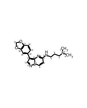 CN(C)CCCNc1ccn2ncc(-c3ccc4c(c3)OCO4)c2n1